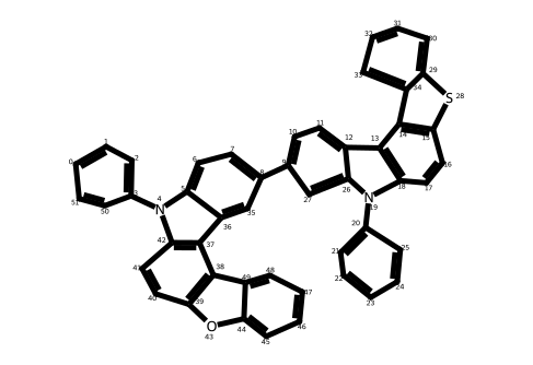 c1ccc(-n2c3ccc(-c4ccc5c6c7c(ccc6n(-c6ccccc6)c5c4)sc4ccccc47)cc3c3c4c(ccc32)oc2ccccc24)cc1